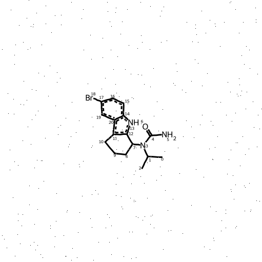 CC(C)N(C(N)=O)C1CCCc2c1[nH]c1ccc(Br)cc21